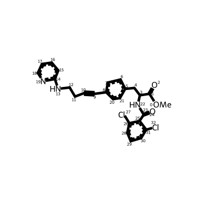 COC(=O)C(Cc1ccc(C#CCCNc2ccccn2)cc1)NC(=O)c1c(Cl)cccc1Cl